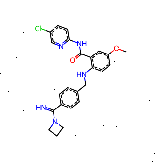 COc1ccc(NCc2ccc(C(=N)N3CCC3)cc2)c(C(=O)Nc2ccc(Cl)cn2)c1